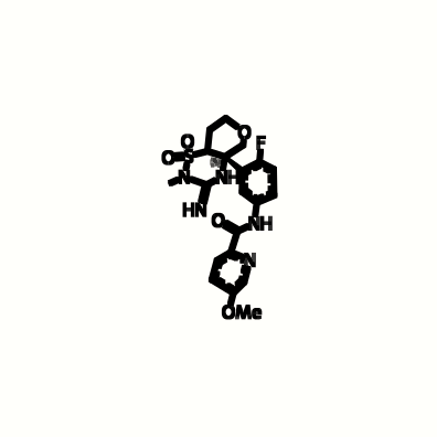 COc1ccc(C(=O)Nc2ccc(F)c([C@]34COCCC3S(=O)(=O)N(C)C(=N)N4)c2)nc1